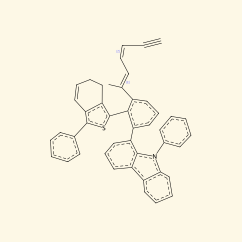 C#C/C=C\C=C(/C)c1cccc(-c2cccc3c4ccccc4n(-c4ccccc4)c23)c1-c1sc(-c2ccccc2)c2c1CCC=C2